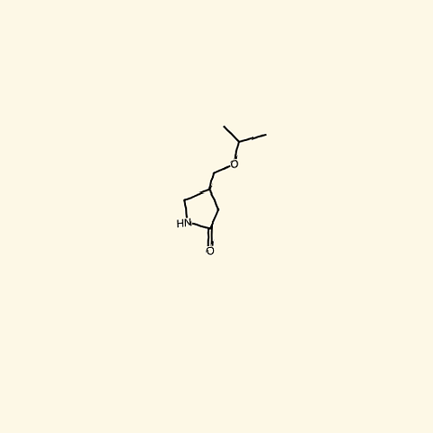 CC(C)OCC1CNC(=O)C1